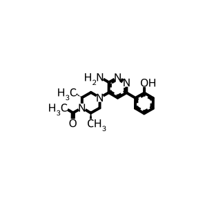 CC(=O)N1[C@H](C)CN(c2cc(-c3ccccc3O)nnc2N)C[C@H]1C